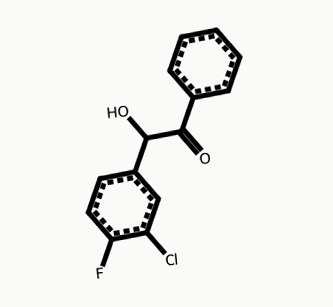 O=C(c1ccccc1)C(O)c1ccc(F)c(Cl)c1